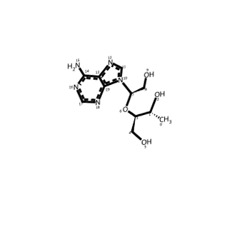 C[C@@H](O)[C@@H](CO)O[C@H](CO)n1cnc2c(N)ncnc21